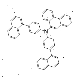 C1=CC(N(c2ccc(-c3cccc4ccccc34)cc2)c2cc3ccccc3c3ccccc23)CC=C1c1cccc2ccccc12